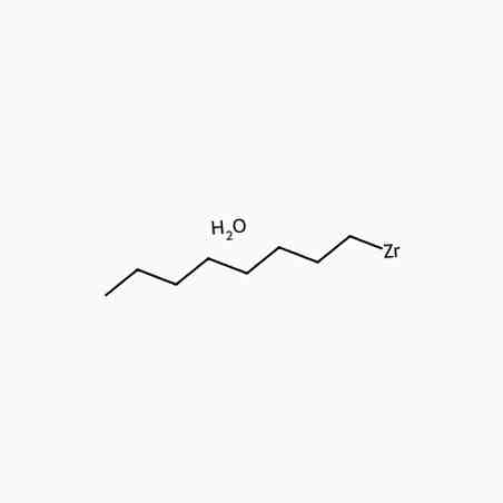 CCCCCCC[CH2][Zr].O